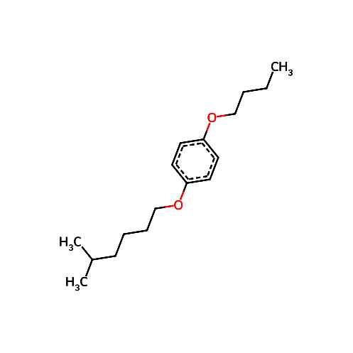 CCCCOc1ccc(OCCCCC(C)C)cc1